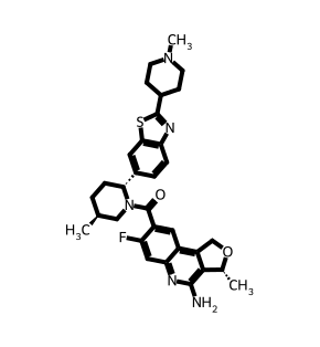 C[C@H]1CC[C@H](c2ccc3nc(C4CCN(C)CC4)sc3c2)N(C(=O)c2cc3c4c(c(N)nc3cc2F)[C@@H](C)OC4)C1